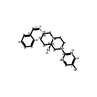 Fc1cnc(N2CCN3C[C@@H](/C=C\c4ccccc4)CC[C@H]3C2)nc1